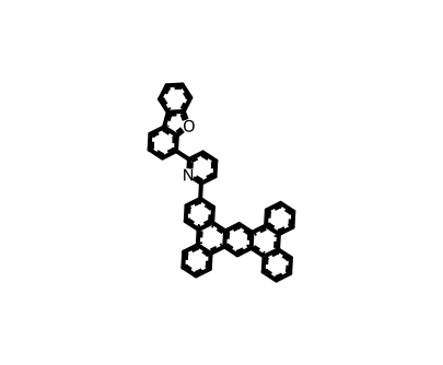 c1cc(-c2ccc3c4ccccc4c4cc5c6ccccc6c6ccccc6c5cc4c3c2)nc(-c2cccc3c2oc2ccccc23)c1